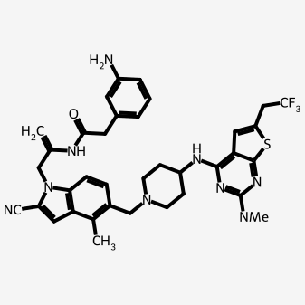 C=C(Cn1c(C#N)cc2c(C)c(CN3CCC(Nc4nc(NC)nc5sc(CC(F)(F)F)cc45)CC3)ccc21)NC(=O)Cc1cccc(N)c1